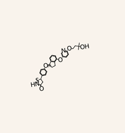 CC(C)(O)CCOc1ccc(Oc2cccc3c2CC[C@H]3Oc2ccc(C3CC(=O)NS3)cc2)cn1